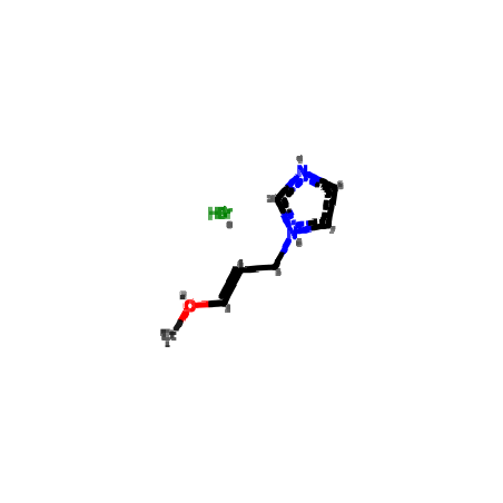 Br.CCOC=CCn1ccnc1